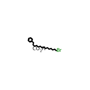 O=C(O)C(CCCCCCCCCCCCBr)CCc1ccccc1